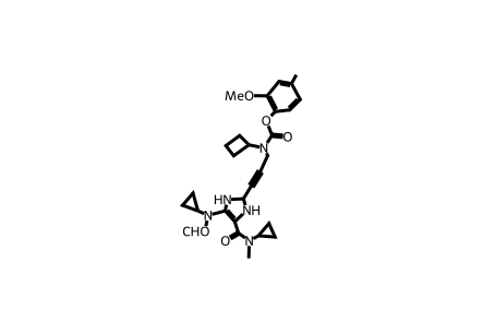 COc1cc(C)ccc1OC(=O)N(CC#CC1NC(C(=O)N(C)C2CC2)=C(N(C=O)C2CC2)N1)C1CCC1